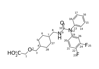 O=C(O)COCC1CCC(CNC(=O)N(c2ccccc2)c2ccc(F)c(F)c2)CC1